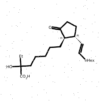 CCCCCCC=C[C@H]1CCC(=O)[C@@H]1CCCCCC(O)(CC)C(=O)O